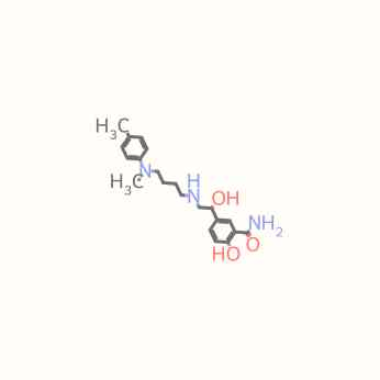 Cc1ccc(N(C)CCCCNCC(O)c2ccc(O)c(C(N)=O)c2)cc1